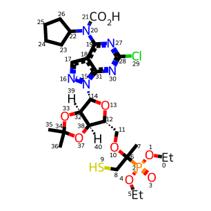 CCOP(=O)(OCC)C(C)(CS)OC[C@H]1O[C@@H](n2ncc3c(N(C(=O)O)C4CCCC4)nc(Cl)nc32)[C@@H]2OC(C)(C)O[C@@H]21